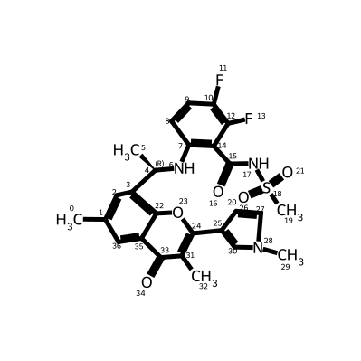 Cc1cc([C@@H](C)Nc2ccc(F)c(F)c2C(=O)NS(C)(=O)=O)c2oc(-c3ccn(C)c3)c(C)c(=O)c2c1